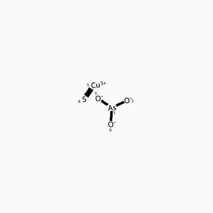 [O-][As]([O-])[O-].[S]=[Cu+3]